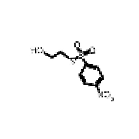 O=[N+]([O-])c1ccc(S(=O)(=O)SCCO)cc1